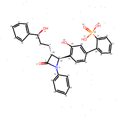 O=C1[C@H](CC[C@H](O)c2ccccc2)[C@@H](c2ccc(-c3ccccc3P(=O)(O)O)cc2O)N1c1ccccc1